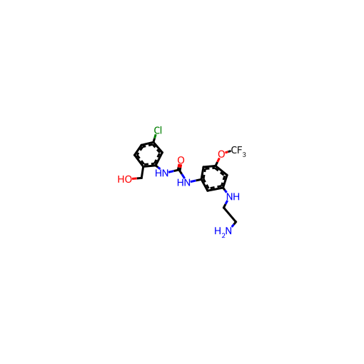 NCCNc1cc(NC(=O)Nc2cc(Cl)ccc2CO)cc(OC(F)(F)F)c1